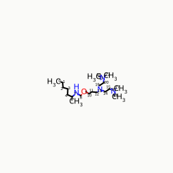 CCCCC[C@@H](C)NCOCCCN(CCN(C)C)CCN(C)C